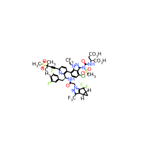 CC(C)(C#Cc1ccc(-c2ccc(Cl)c3c(N(C(=O)N[C@@H](CC(=O)O)C(=O)O)S(C)(=O)=O)nn(CC(F)(F)F)c23)c([C@H](Cc2cc(F)cc(F)c2)NC(=O)Cn2nc(C(F)(F)F)c3c2C(F)(F)[C@@H]2C[C@H]32)n1)S(C)(=O)=O